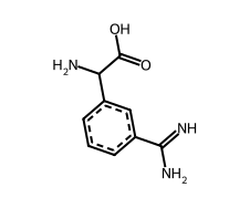 N=C(N)c1cccc(C(N)C(=O)O)c1